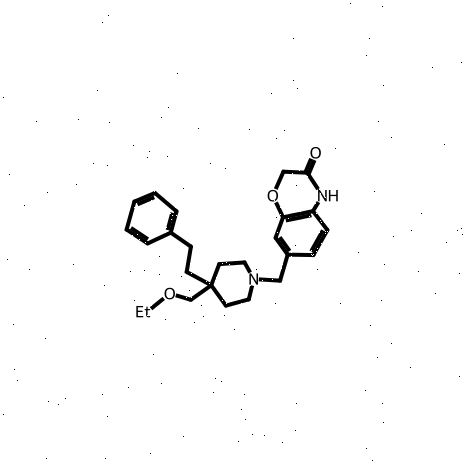 CCOCC1(CCc2ccccc2)CCN(Cc2ccc3c(c2)OCC(=O)N3)CC1